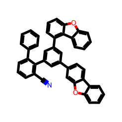 N#Cc1cccc(-c2ccccc2)c1-c1cc(-c2ccc3c(c2)oc2ccccc23)cc(-c2cccc3oc4ccccc4c23)c1